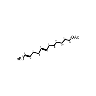 CCCCC=CCCC=CCCCCCCOC(C)=O